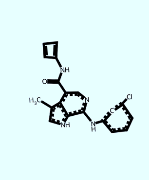 Cc1c[nH]c2c(Nc3cccc(Cl)c3)ncc(C(=O)NC3=CC=C3)c12